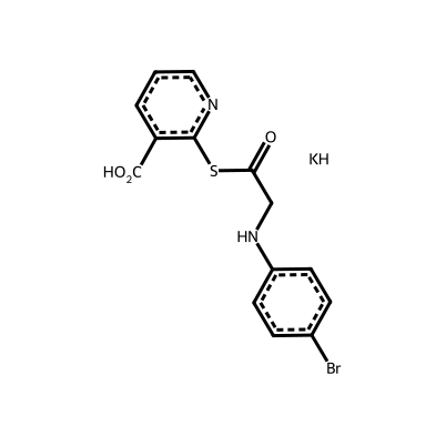 O=C(CNc1ccc(Br)cc1)Sc1ncccc1C(=O)O.[KH]